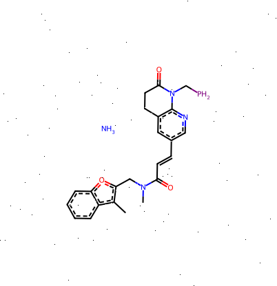 Cc1c(CN(C)C(=O)C=Cc2cnc3c(c2)CCC(=O)N3CP)oc2ccccc12.N